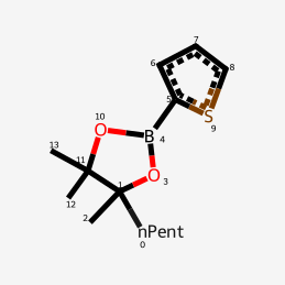 CCCCCC1(C)OB(c2cccs2)OC1(C)C